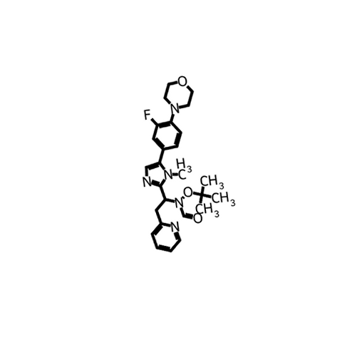 Cn1c(-c2ccc(N3CCOCC3)c(F)c2)cnc1C(Cc1ccccn1)N(C=O)OC(C)(C)C